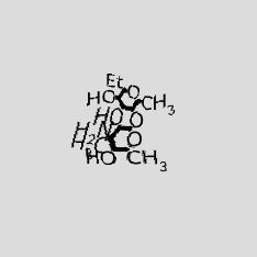 CCC1OC(C)[C@@H](O[C@H]2CC(C)(N)[C@H](O)C(C)O2)[C@@H](O)C1O